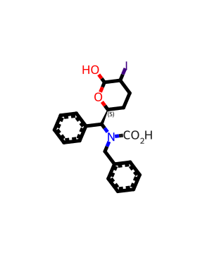 O=C(O)N(Cc1ccccc1)C(c1ccccc1)[C@@H]1CCC(I)C(O)O1